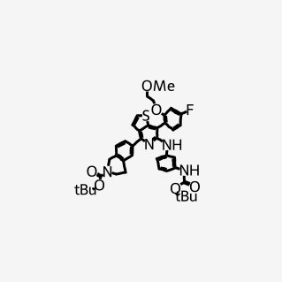 COCCOc1cc(F)ccc1-c1c(Nc2cccc(NC(=O)OC(C)(C)C)c2)nc(-c2ccc3c(c2)CCN(C(=O)OC(C)(C)C)C3)c2ccsc12